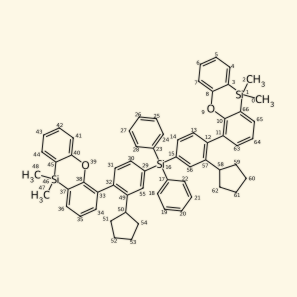 C[Si]1(C)c2ccccc2Oc2c(-c3ccc([Si](c4ccccc4)(c4ccccc4)c4ccc(-c5cccc6c5Oc5ccccc5[Si]6(C)C)c(C5CCCC5)c4)cc3C3CCCC3)cccc21